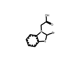 O=C(O)CN1c2ccccc2SC1Br